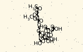 CC(=O)OCC(COC(=O)COCCOC(=O)CN(CC(=O)O)C(CC(=O)O)CN(CCN(CC(=O)O)CC(=O)O)CC(=O)O)OC(C)=O